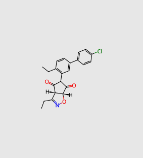 CCC1=NO[C@H]2C(=O)C(c3cc(-c4ccc(Cl)cc4)ccc3CC)C(=O)[C@@H]12